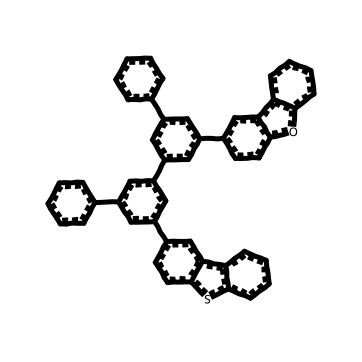 c1ccc(-c2cc(-c3cc(-c4ccccc4)cc(-c4ccc5sc6ccccc6c5c4)c3)cc(-c3ccc4oc5ccccc5c4c3)c2)cc1